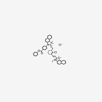 CC[N+]1=C(/C=C/C2=C(Cl)C(C=C=C3N(c4ccc(C(=O)Oc5ccccc5)cc4)c4ccc5ccccc5c4C3(C)C)CCC2)C(C)(C)c2c1ccc1ccccc21.[Cl-]